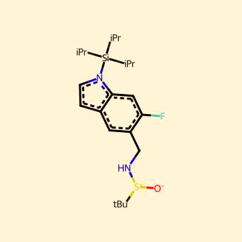 CC(C)[Si](C(C)C)(C(C)C)n1ccc2cc(CN[S+]([O-])C(C)(C)C)c(F)cc21